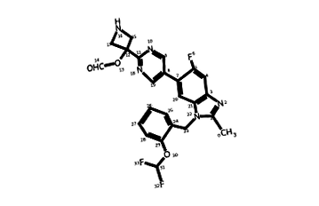 Cc1nc2cc(F)c(-c3cnc(C4(OC=O)CNC4)nc3)cc2n1Cc1ccccc1OC(F)F